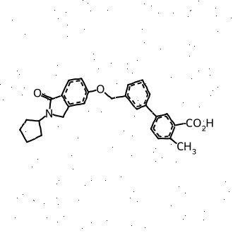 Cc1ccc(-c2cccc(COc3ccc4c(c3)CN(C3CCCC3)C4=O)c2)cc1C(=O)O